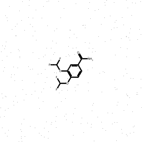 NC(=O)c1ccc(OC(F)F)c(OC(F)F)c1